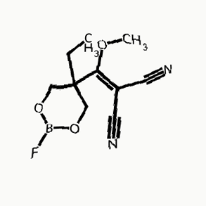 CCC1(C(OC)=C(C#N)C#N)COB(F)OC1